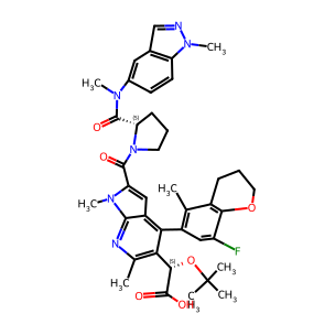 Cc1nc2c(cc(C(=O)N3CCC[C@H]3C(=O)N(C)c3ccc4c(cnn4C)c3)n2C)c(-c2cc(F)c3c(c2C)CCCO3)c1[C@H](OC(C)(C)C)C(=O)O